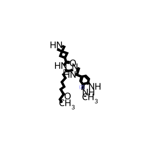 CCC(=O)CCCCC[C@H](NC(=O)C1CC2(CNC2)C1)c1ncc(C2=C/C(=C/NC)C(=N)C=C2)[nH]1